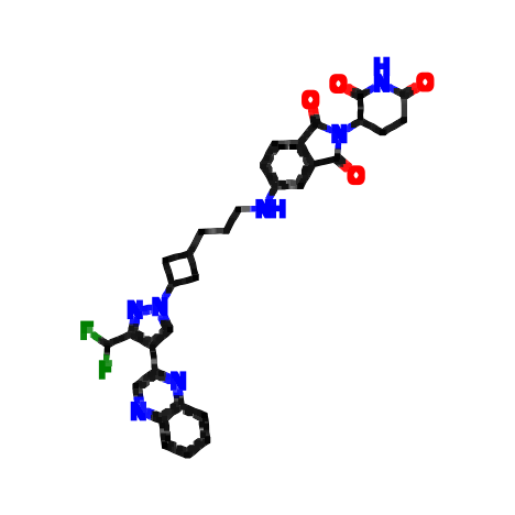 O=C1CCC(N2C(=O)c3ccc(NCCCC4CC(n5cc(-c6cnc7ccccc7n6)c(C(F)F)n5)C4)cc3C2=O)C(=O)N1